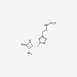 N[C@@H]1C(=O)N[C@@H]1Cc1cn(CCNC(=O)O)nn1